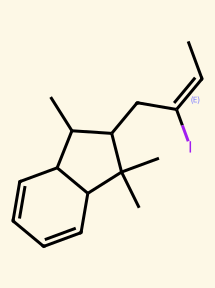 C/C=C(/I)CC1C(C)C2C=CC=CC2C1(C)C